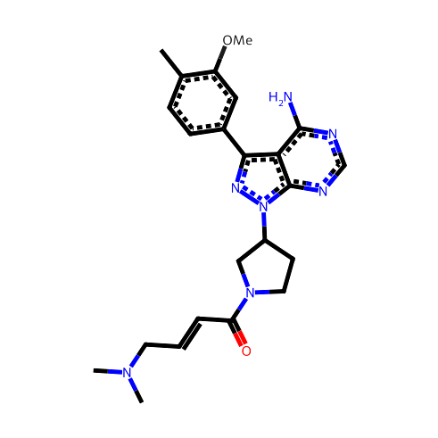 COc1cc(-c2nn(C3CCN(C(=O)C=CCN(C)C)C3)c3ncnc(N)c23)ccc1C